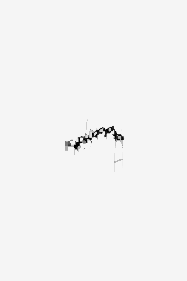 CC1(C)CC(Oc2ccc(-c3ccc4cnc(CNC(=O)c5cccc(S(=O)(=O)C(F)F)c5)cc4n3)cn2)CC(C)(C)N1